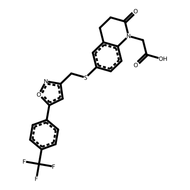 O=C(O)CN1C(=O)CCc2cc(SCc3cc(-c4ccc(C(F)(F)F)cc4)on3)ccc21